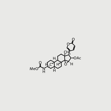 COC(=O)N[C@H]1CC[C@@]2(C)[C@H](CC[C@@H]3[C@@H]2CC[C@]2(C)[C@@H](c4ccc(=O)oc4)[C@@H](OC(C)=O)[C@H]4O[C@]342)C1